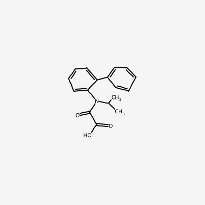 CC(C)N(C(=O)C(=O)O)c1ccccc1-c1ccccc1